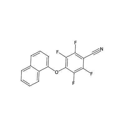 N#Cc1c(F)c(F)c(Oc2cccc3ccccc23)c(F)c1F